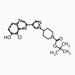 CC(C)(C)OC(=O)N1CCC(n2cc(-c3cnc4ccc(O)c(Cl)c4n3)cn2)CC1